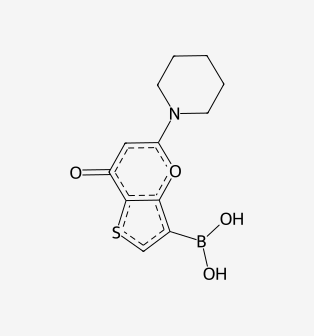 O=c1cc(N2CCCCC2)oc2c(B(O)O)csc12